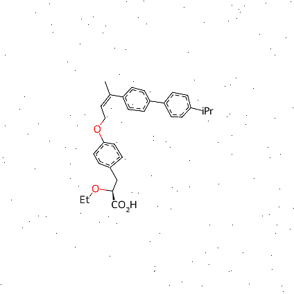 CCO[C@@H](Cc1ccc(OCC=C(C)c2ccc(-c3ccc(C(C)C)cc3)cc2)cc1)C(=O)O